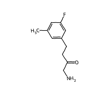 Cc1cc(F)cc(CCC(=O)CN)c1